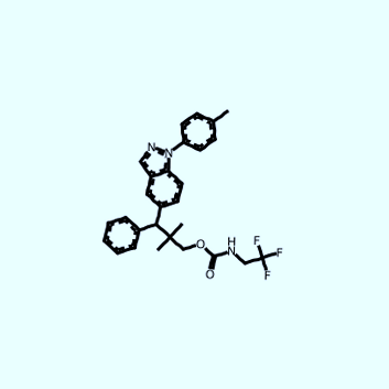 Cc1ccc(-n2ncc3cc(C(c4ccccc4)C(C)(C)COC(=O)NCC(F)(F)F)ccc32)cc1